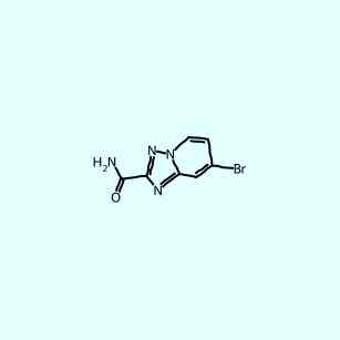 NC(=O)c1nc2cc(Br)ccn2n1